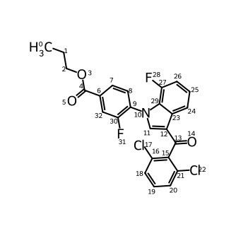 CCCOC(=O)c1ccc(-n2cc(C(=O)c3c(Cl)cccc3Cl)c3cccc(F)c32)c(F)c1